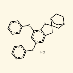 Cl.c1ccc(Oc2cc3c(c(Oc4ccccc4)c2)OC2(C3)CN3CCC2CC3)cc1